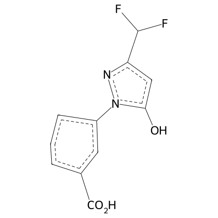 O=C(O)c1cccc(-n2nc(C(F)F)cc2O)c1